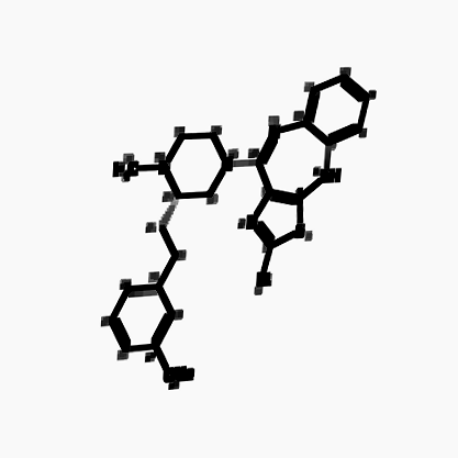 CCc1nc2c(s1)Nc1ccccc1N=C2N1CCN(C)[C@@H](CCc2cccc(OC)c2)C1